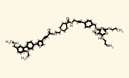 CCCSc1nc(NCCN)c2nnn(Cc3ccc(C#CCNC(=O)C4CCN(CCNC(=O)C#Cc5csc(-c6ccc7c8cc(CNC)ccc8n(CC)c7c6)c5)CC4)cc3)c2n1